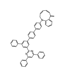 C=C1/C=C\C=C/CN(c2ccc(-c3ccc(-c4cc(-c5ccccc5)cc(-c5nc(-c6ccccc6)cc(-c6ccccc6)n5)c4)cc3)cc2)c2ccccc21